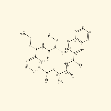 CSCC[C@H](NC(=O)[C@H](CC(C)C)NC(C)=O)C(=O)N[C@@H](CC(C)C)[C@@H](O)C[C@@H](C)C(=O)N[C@H](C(=O)NCc1ccccc1)C(C)C